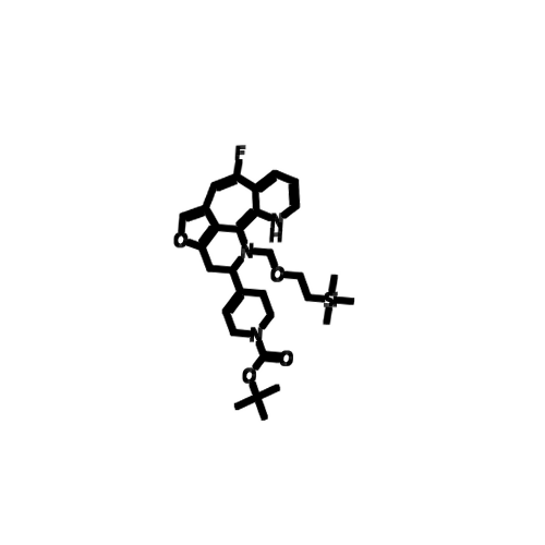 CC(C)(C)OC(=O)N1CC=C(C2Cc3occ4c3C(=C3NC=CC=C3C(F)=C4)N2COCC[Si](C)(C)C)CC1